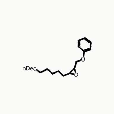 CCCCCCCCCCCCCCCC1OC1COc1ccccc1